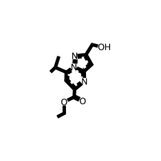 CCOC(=O)c1cc(C(C)C)n2nc(CO)cc2n1